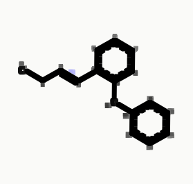 ClC/C=C/c1ccccc1Oc1ccccc1